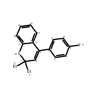 CCC1(CC)C=C(c2ccc(F)cc2)c2ccccc2S1